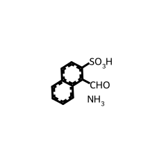 N.O=Cc1c(S(=O)(=O)O)ccc2ccccc12